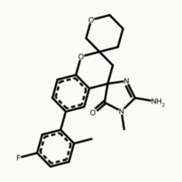 Cc1ccc(F)cc1-c1ccc2c(c1)C1(CC3(CCCOC3)O2)N=C(N)N(C)C1=O